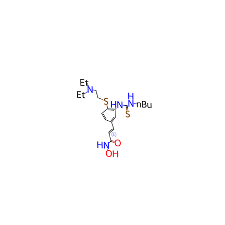 CCCCNC(=S)Nc1cc(/C=C/C(=O)NO)ccc1SCCN(CC)CC